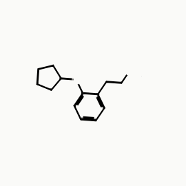 O=C(O)CCc1ccccc1OC1CCCC1